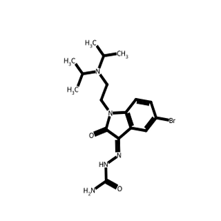 CC(C)N(CCN1C(=O)C(=NNC(N)=O)c2cc(Br)ccc21)C(C)C